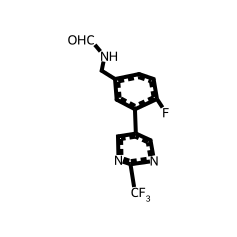 O=CNCc1ccc(F)c(-c2cnc(C(F)(F)F)nc2)c1